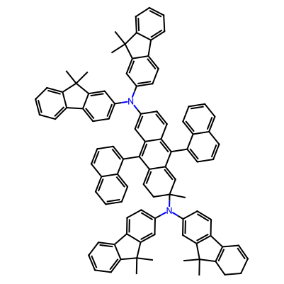 CC1(C)C2=C(C=CCC2)c2ccc(N(c3ccc4c(c3)C(C)(C)c3ccccc3-4)C3(C)C=c4c(-c5cccc6ccccc56)c5ccc(N(c6ccc7c(c6)C(C)(C)c6ccccc6-7)c6ccc7c(c6)C(C)(C)c6ccccc6-7)cc5c(-c5cccc6ccccc56)c4=CC3)cc21